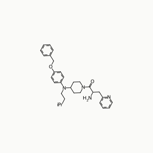 CC(C)CCN(c1ccc(OCc2ccccc2)cc1)C1CCN(C(=O)C(N)Cc2ccccn2)CC1